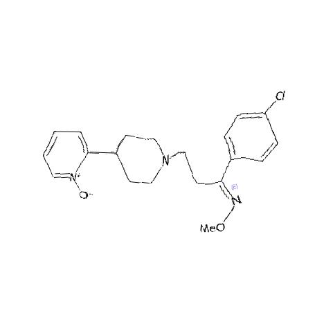 CO/N=C(\CCN1CCC(c2cccc[n+]2[O-])CC1)c1ccc(Cl)cc1